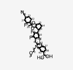 COCCn1c(Cc2c(F)cc(-c3cccc4c3OC(C)(c3ccc(C#N)cc3F)O4)c(F)c2F)nc2ccc(C(O)O)cc21